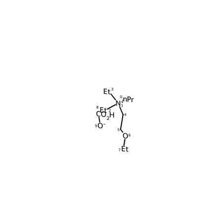 CCC[N+](CC)(CC)CCOCC.O=C([O-])O